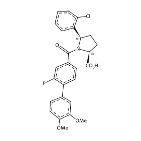 COc1ccc(-c2ccc(C(=O)N3[C@@H](c4ccccc4Cl)CC[C@H]3C(=O)O)cc2F)cc1OC